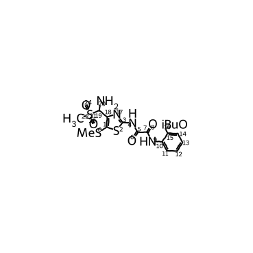 CSc1sc(NC(=O)C(=O)Nc2ccccc2OCC(C)C)nc1C(N)S(C)(=O)=O